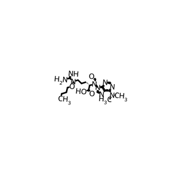 CCCCON(CCC[C@@H](C(=O)O)N(C=O)n1cnc2c(N(C)C)ncnc21)C(=N)N